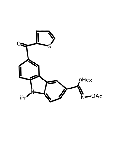 CCCCCC/C(=N\OC(C)=O)c1ccc2c(c1)c1cc(C(=O)c3cccs3)ccc1n2C(C)C